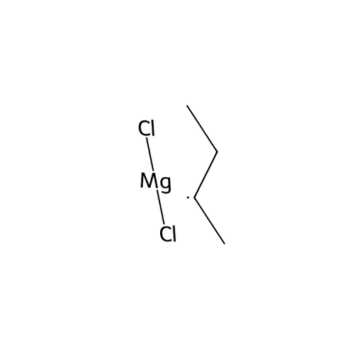 C[CH]CC.[Cl][Mg][Cl]